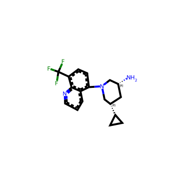 N[C@@H]1C[C@H](C2CC2)CN(c2ccc(C(F)(F)F)c3ncccc23)C1